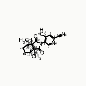 Cc1cc(C#N)ncc1N1C(=O)[C@@H]2[C@H](C1=O)[C@@]1(C)CC[C@]2(C)O1